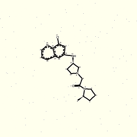 C[C@@H]1CCCN1C(=O)CN1CC[C@@H](Nc2cc(Cl)c3ncccc3c2)C1